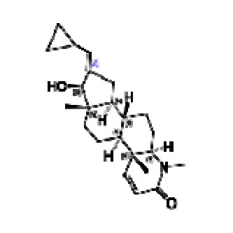 CN1C(=O)C=C[C@]2(C)[C@H]3CC[C@]4(C)[C@@H](O)/C(=C\C5CC5)C[C@H]4[C@@H]3CC[C@@H]12